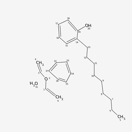 C=COC=C.CCCCCCCCCc1ccccc1O.O.c1ccccc1